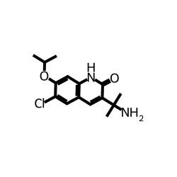 CC(C)Oc1cc2[nH]c(=O)c(C(C)(C)N)cc2cc1Cl